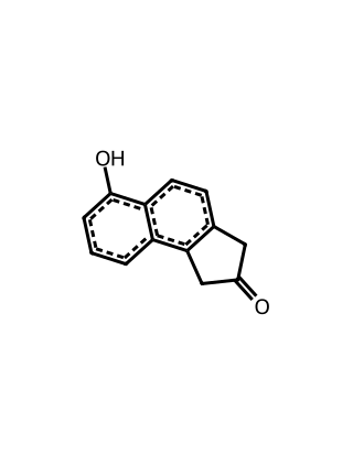 O=C1Cc2ccc3c(O)cccc3c2C1